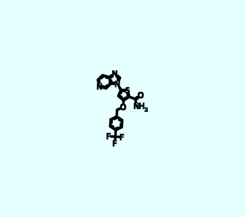 NC(=O)c1sc(-n2cnc3ccncc32)cc1OCc1ccc(C(F)(F)F)cc1